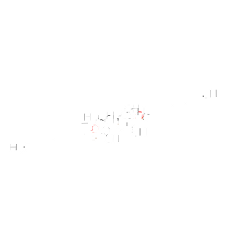 CCCCCCCCCCCCCCCC(=S)Oc1cc(C)c(CSCc2cc(C(C)(C)C)c(OC(=S)CCCCCCCCCCCCCCC)cc2C)cc1C(C)(C)C